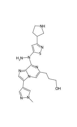 Cn1cc(-c2cnc3c(N(N)c4cc(C5CCNC5)ns4)nc(CCCO)cn23)cn1